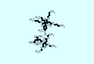 CCCCOC(=O)CC(OCCCC)(C(=O)OCCCC)C(CCCC)(CCCC)C(=O)OCCCC.CCOC(=O)CC(CC(=O)OCC)(OC(=O)CC(O)(CC(=O)O)C(=O)O)C(=O)OCC